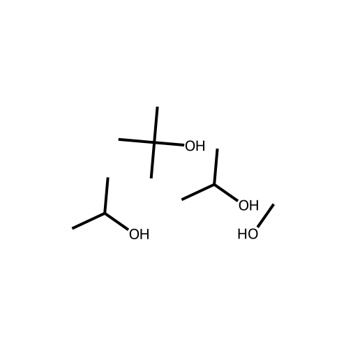 CC(C)(C)O.CC(C)O.CC(C)O.CO